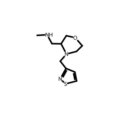 CNCC1COCCN1Cc1ccsn1